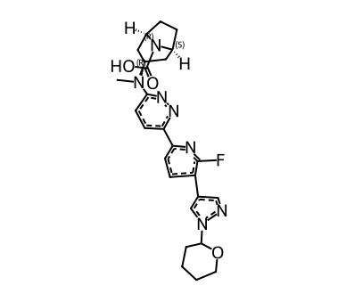 CN(c1ccc(-c2ccc(-c3cnn(C4CCCCO4)c3)c(F)n2)nn1)[C@H]1C[C@H]2CC[C@@H](C1)N2C(=O)O